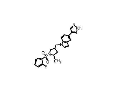 CC1CC(Cn2ccc3cc(-c4cn[nH]c4)ccc32)CN1S(=O)(=O)c1ccccc1F